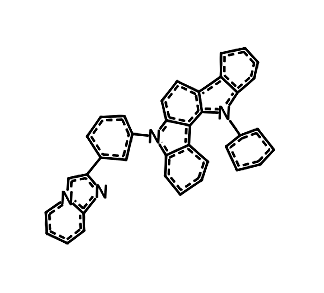 c1ccc(-n2c3ccccc3c3ccc4c(c5ccccc5n4-c4cccc(-c5cn6ccccc6n5)c4)c32)cc1